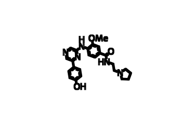 COc1cc(C(=O)NCCN2CCCC2)ccc1Nc1cncc(-c2ccc(O)cc2)n1